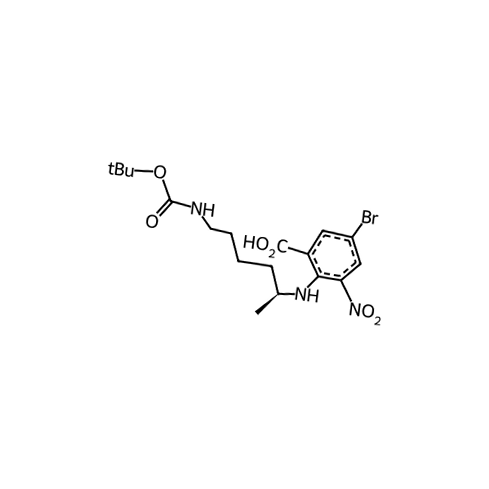 C[C@@H](CCCCNC(=O)OC(C)(C)C)Nc1c(C(=O)O)cc(Br)cc1[N+](=O)[O-]